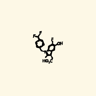 Cc1c(CC(=O)O)c2cc(O)c(F)cc2n1Cc1ccc(C(F)F)cc1